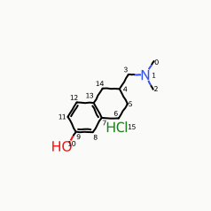 CN(C)CC1CCc2cc(O)ccc2C1.Cl